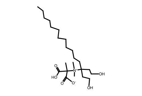 CCCCCCCCCCCCC(CCO)(CCO)[N+](C)(C)C(C)(C(=O)[O-])C(=O)O